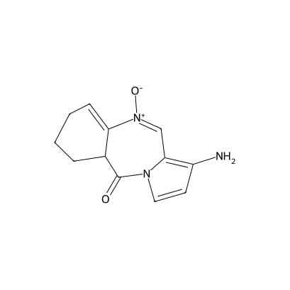 Nc1ccn2c1C=[N+]([O-])C1=CCCCC1C2=O